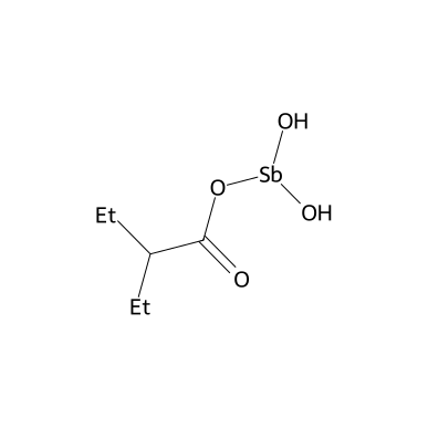 CCC(CC)C(=O)[O][Sb]([OH])[OH]